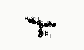 CC1(C)c2ccccc2-c2ccc(-c3ccc4sc5c(-c6ccc(-c7nnc(-c8ccccc8)o7)cc6)cc(-c6ccc7c(c6)C(C)(C)c6ccccc6-7)cc5c4c3)cc21